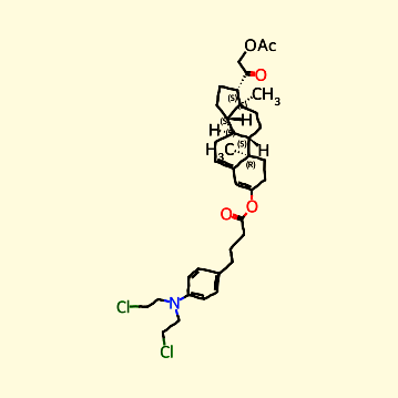 CC(=O)OCC(=O)[C@H]1CC[C@H]2[C@@H]3CC=C4C=C(OC(=O)CCCc5ccc(N(CCCl)CCCl)cc5)CC[C@]4(C)[C@H]3CC[C@]12C